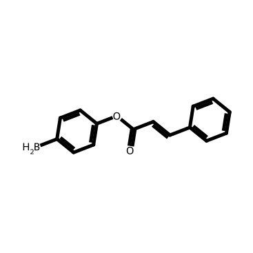 Bc1ccc(OC(=O)/C=C/c2ccccc2)cc1